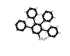 O=C(O)c1cc(-c2ccccc2)c(-c2ccccc2)c(-c2ccccc2)c1-c1ccccc1